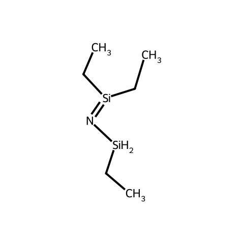 CC[SiH2]N=[Si](CC)CC